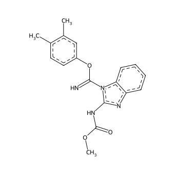 COC(=O)Nc1nc2ccccc2n1C(=N)Oc1ccc(C)c(C)c1